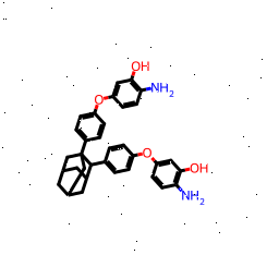 Nc1ccc(Oc2ccc(C3C4CC5CC(C4)CC3(c3ccc(Oc4ccc(N)c(O)c4)cc3)C5)cc2)cc1O